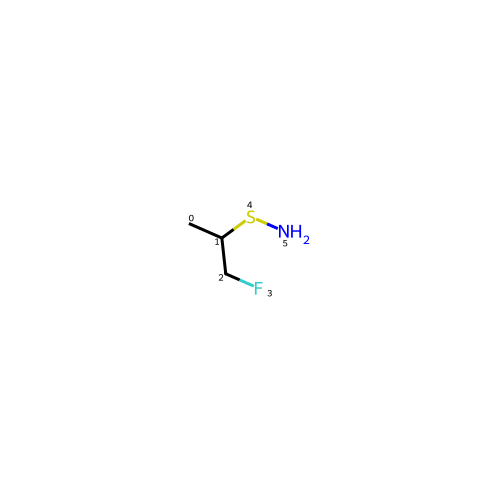 CC(CF)SN